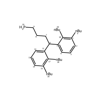 CCCCc1cccc(C(CCCP)c2cccc(CCCC)c2CCCC)c1CCCC